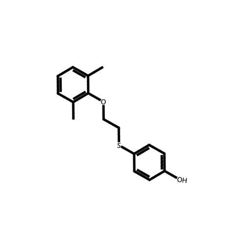 Cc1cccc(C)c1OCCSc1ccc(O)cc1